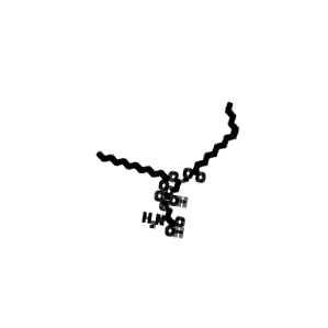 CCCC/C=C\CCCCCCCC(=O)OC[C@H](COP(=O)(O)OC[C@H](N)C(=O)O)OC(=O)CCCCCCCCCCC